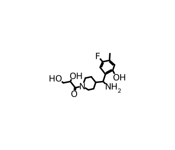 Cc1cc(O)c(C(N)C2CCN(C(=O)C(O)CO)CC2)cc1F